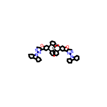 c1ccc2c(c1)-c1cc3oc4cnc(-n5c6ccccc6c6ccccc65)nc4c3cc1-c1ccccc1[Si]21c2ccccc2-c2cc3oc4cnc(-n5c6ccccc6c6ccccc65)nc4c3cc2-c2ccccc21